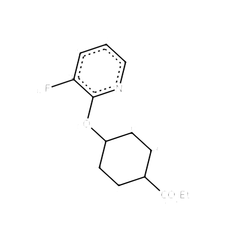 CCOC(=O)C1CCC(Oc2ncccc2F)CC1